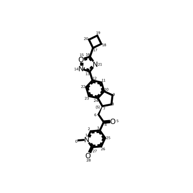 Cn1cc(C(=O)C[C@@H]2CCc3cc(-c4noc(C5CCC5)n4)ccc32)ccc1=O